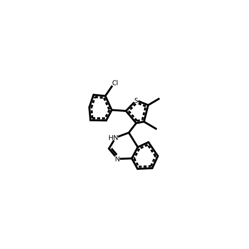 Cc1sc(-c2ccccc2Cl)c(C2NC=Nc3ccccc32)c1C